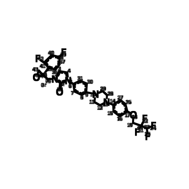 C[C@@H](n1ccn(-c2ccc(N3CCN(c4ccc(OCC(F)(F)C(F)F)cc4)CC3)cc2)c1=O)[C@@]1(c2ccc(F)cc2F)CO1